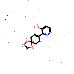 Oc1cccnc1C1=CCC2(CC1)OCCO2